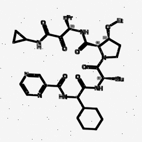 CCC[C@@H](NC(=O)[C@H]1[C@@H](OCC)CCN1C(=O)[C@H](NC(=O)C(NC(=O)c1cnccn1)C1CCCCC1)C(C)(C)C)C(=O)C(=O)NC1CC1